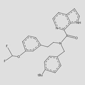 CC(C)(C)c1ccc(CN(CCc2cccc(OC(F)F)c2)C(=O)c2nccc3cc[nH]c23)cc1